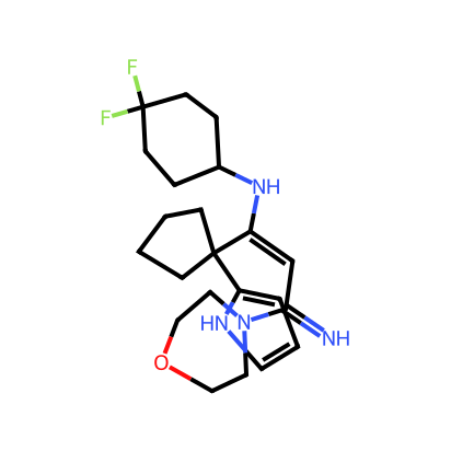 N=C(/C=C(/NC1CCC(F)(F)CC1)C1(c2ccc[nH]2)CCCC1)N1CCOCC1